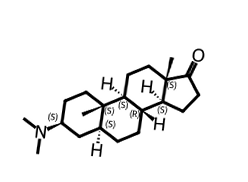 CN(C)[C@H]1CC[C@@]2(C)[C@@H](CC[C@@H]3[C@@H]2CC[C@]2(C)C(=O)CC[C@@H]32)C1